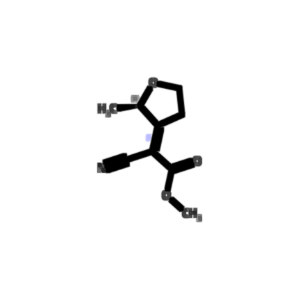 COC(=O)/C(C#N)=C1\CCO[C@@H]1C